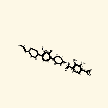 C/C=C/C1CCC(c2ccc(C3CCC(OC(=O)c4ccc(C5CO5)c(F)c4F)CC3)c(F)c2F)CC1